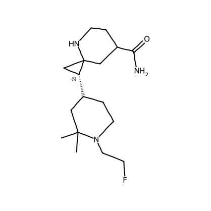 CC1(C)CC([C@@H]2CC23CC(C(N)=O)CCN3)CCN1CCF